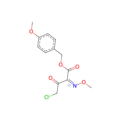 CO/N=C(/C(=O)CCl)C(=O)OCc1ccc(OC)cc1